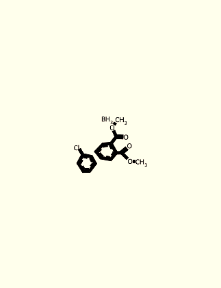 B.COC(=O)c1ccccc1C(=O)OC.Clc1ccccc1